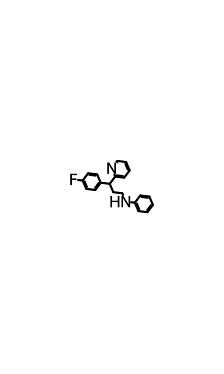 Fc1ccc(C(CCNc2ccccc2)c2ccccn2)cc1